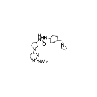 CNc1nccc(N2CC[C@H](NC(=O)Nc3ccc(CN4CCC4)cc3)C2)n1